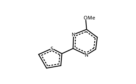 COc1ccnc(-c2cccs2)n1